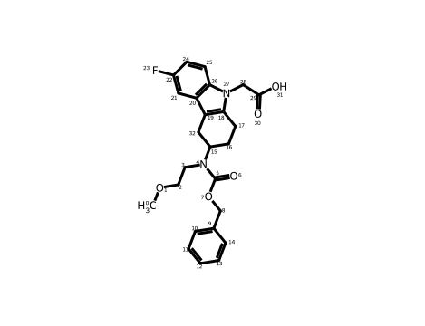 COCCN(C(=O)OCc1ccccc1)C1CCc2c(c3cc(F)ccc3n2CC(=O)O)C1